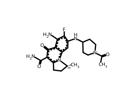 CC(=O)N1CCC(Nc2cc3c(c(N)c2F)c(=O)c(C(N)=O)c2n3[C@H](C)CC2)CC1